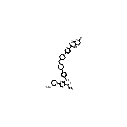 NC(=O)c1ncc(N2CCC[C@@H](CO)C2)nc1Nc1ccc(C2CCN(CC3CCN(c4ccc(C(=O)NC5CCC(=O)NC5=O)nc4)CC3)CC2)cc1